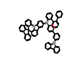 c1ccc(-c2ccccc2-c2ccccc2N(c2ccc(-c3cccc(-n4c5ccccc5c5ccccc54)c3)cc2)c2ccc3c(c2)c2cccc4c2n3-c2ccccc2C42c3ccccc3-c3ccccc32)cc1